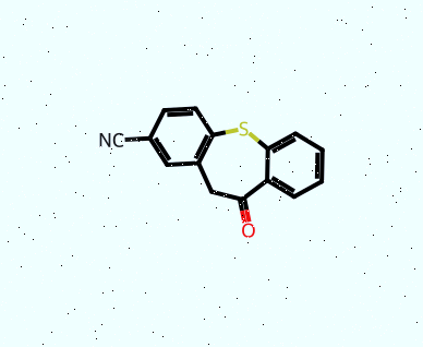 N#Cc1ccc2c(c1)CC(=O)c1ccccc1S2